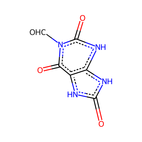 O=Cn1c(=O)[nH]c2[nH]c(=O)[nH]c2c1=O